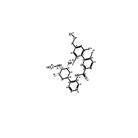 CCOCc1cc(F)c(-c2nc(C(=O)Nc3cnccc3N3C[C@@H](N)[C@@H](NC(=O)O)[C@@H](C)C3)ccc2F)c(F)c1